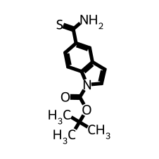 CC(C)(C)OC(=O)n1ccc2cc(C(N)=S)ccc21